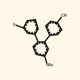 CCCCc1ccc(-c2cccc(F)c2)c(-c2ccc(C#N)cc2)c1